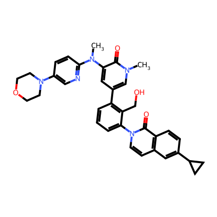 CN(c1ccc(N2CCOCC2)cn1)c1cc(-c2cccc(-n3ccc4cc(C5CC5)ccc4c3=O)c2CO)cn(C)c1=O